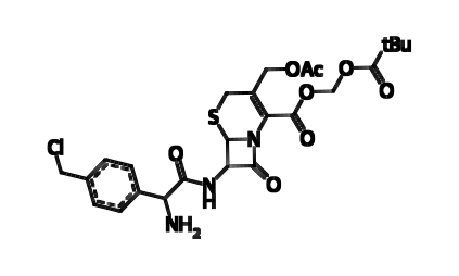 CC(=O)OCC1=C(C(=O)OCOC(=O)C(C)(C)C)N2C(=O)C(NC(=O)C(N)c3ccc(CCl)cc3)C2SC1